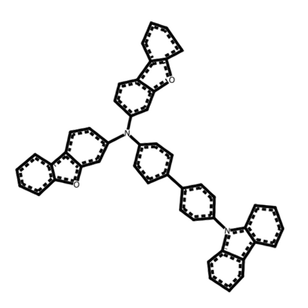 c1ccc2c(c1)oc1cc(N(c3ccc(-c4ccc(-n5c6ccccc6c6ccccc65)cc4)cc3)c3ccc4c(c3)oc3ccccc34)ccc12